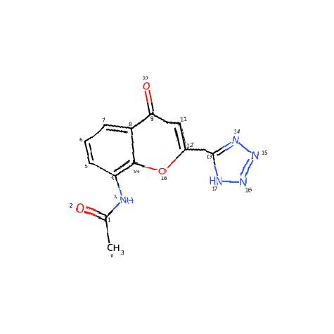 CC(=O)Nc1cccc2c(=O)cc(-c3nnn[nH]3)oc12